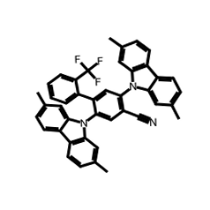 Cc1ccc2c3ccc(C)cc3n(-c3cc(-c4ccccc4C(F)(F)F)c(-n4c5cc(C)ccc5c5ccc(C)cc54)cc3C#N)c2c1